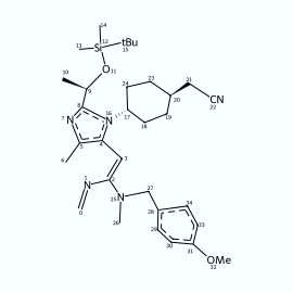 C=N/C(=C\c1c(C)nc([C@@H](C)O[Si](C)(C)C(C)(C)C)n1[C@H]1CC[C@H](CC#N)CC1)N(C)Cc1ccc(OC)cc1